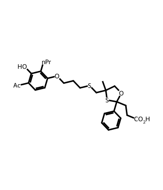 CCCc1c(OCCCSCC2(C)COC(CCC(=O)O)(c3ccccc3)S2)ccc(C(C)=O)c1O